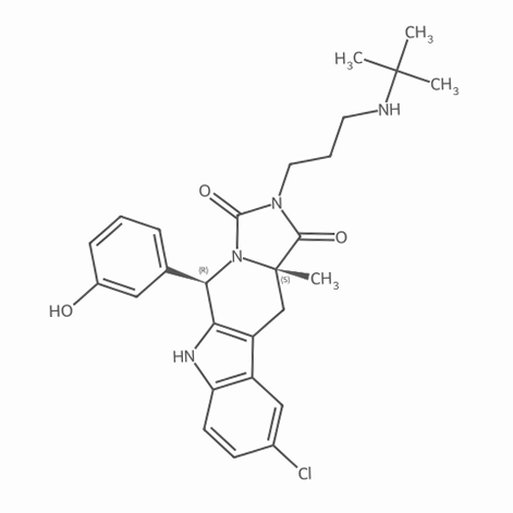 CC(C)(C)NCCCN1C(=O)N2[C@H](c3cccc(O)c3)c3[nH]c4ccc(Cl)cc4c3C[C@@]2(C)C1=O